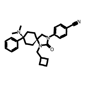 CN(C)[C@]1(c2ccccc2)CC[C@@]2(CC1)CN(c1ccc(C#N)cc1)C(=O)N2CC1CCC1